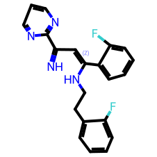 N=C(/C=C(\NCCc1ccccc1F)c1ccccc1F)c1ncccn1